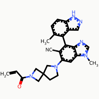 C=CC(=O)N1CC2(CCN(c3cc4c(ncn4C)c(-c4c(C)ccc5[nH]ncc45)c3C#N)C2)C1